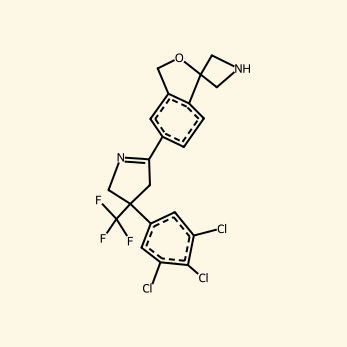 FC(F)(F)C1(c2cc(Cl)c(Cl)c(Cl)c2)CN=C(c2ccc3c(c2)COC32CNC2)C1